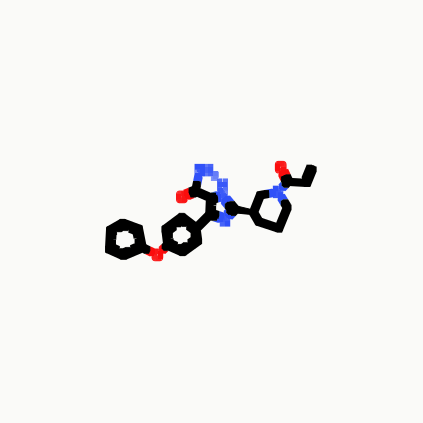 C=CC(=O)N1CCC[C@@H](c2nc(-c3ccc(Oc4ccccc4)cc3)c(C(N)=O)[nH]2)C1